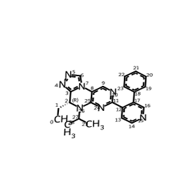 CC[C@@H]1c2nncn2-c2cnc(-c3ccncc3-c3ccccc3)nc2N1C(C)C